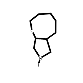 IN1CC2CCCCCCC2C1